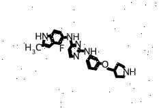 Cc1cc2c(F)c(Nc3ccnc(Nc4cccc(OCC5CCNCC5)c4)n3)ccc2[nH]1